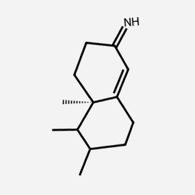 CC1CCC2=CC(=N)CC[C@]2(C)C1C